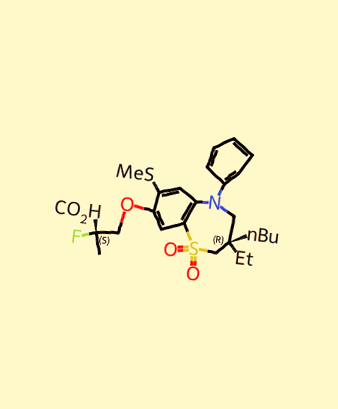 CCCC[C@]1(CC)CN(c2ccccc2)c2cc(SC)c(OC[C@](C)(F)C(=O)O)cc2S(=O)(=O)C1